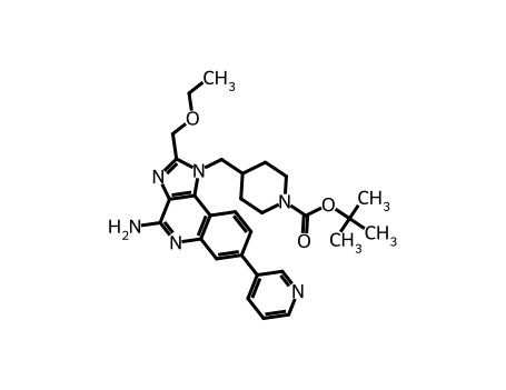 CCOCc1nc2c(N)nc3cc(-c4cccnc4)ccc3c2n1CC1CCN(C(=O)OC(C)(C)C)CC1